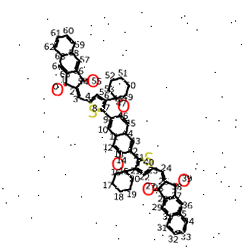 O=C1C(=Cc2cc3c(s2)C2=CC4C=C5OC6(CCCCC6)c6cc(C=C7C(=O)c8cc9ccccc9cc8C7=O)sc6C5=CC4C=C2OC32CCCCC2)C(=O)C2=CC3C=CC=CC3C=C12